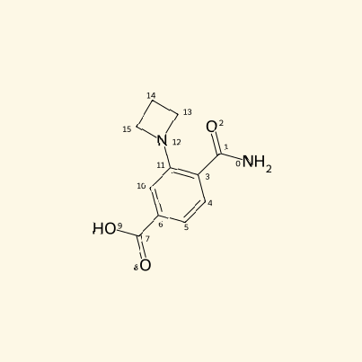 NC(=O)c1ccc(C(=O)O)cc1N1CCC1